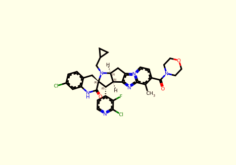 Cc1c(C(=O)N2CCOCC2)ccn2c3c(nc12)[C@@H]1[C@H](C3)N(CC2CC2)[C@]2(Cc3ccc(Cl)cc3NC2=O)[C@H]1c1ccnc(Cl)c1F